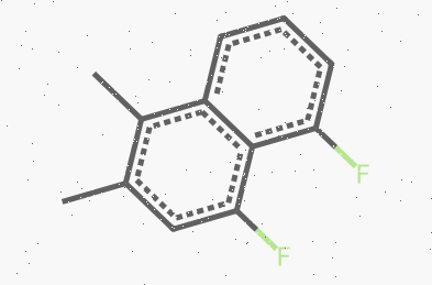 Cc1cc(F)c2c(F)cccc2c1C